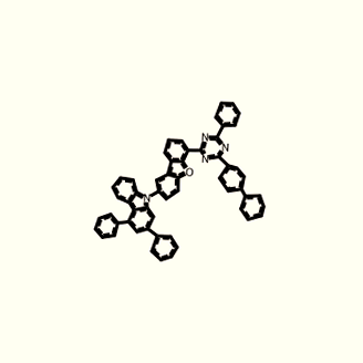 c1ccc(-c2ccc(-c3nc(-c4ccccc4)nc(-c4cccc5c4oc4ccc(-n6c7ccccc7c7c(-c8ccccc8)cc(-c8ccccc8)cc76)cc45)n3)cc2)cc1